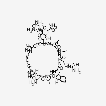 CN[C@@H]1CCCCCCn2nncc2CCC[C@@H](C(=O)N[C@@H](CCC(N)=O)C(=O)C(=O)[C@H](CC(N)=O)NN)NN[C@H](CC(C)C)C(=O)C(=O)[C@H](CC(C)C)NC(=O)C(CCCNC(=N)N)NC(=O)[C@H](Cc2c[nH]c3ccccc23)NC(=O)C(CC(C)C)NC(=O)[C@H](CC(N)=O)NC1=O